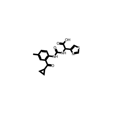 Cc1ccc(NC(=O)NC(C(=O)O)c2cscn2)c(C(=O)C2CC2)c1